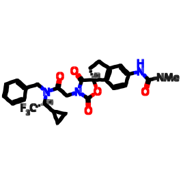 CNC(=O)Nc1ccc2c(c1)CC[C@@]21OC(=O)N(CC(=O)N(Cc2ccccc2)[C@H](C2CC2)C(F)(F)F)C1=O